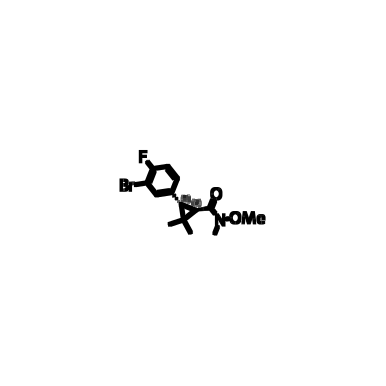 CON(C)C(=O)[C@@H]1[C@@H](c2ccc(F)c(Br)c2)C1(C)C